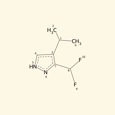 CC(C)c1c[nH]nc1C(F)F